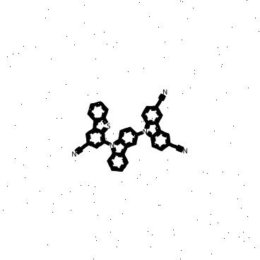 N#Cc1cc(-n2c3ccccc3c3cc(-n4c5ccc(C#N)cc5c5cc(C#N)ccc54)ccc32)c2sc3ccccc3c2c1